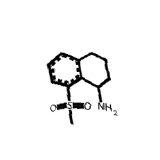 CS(=O)(=O)c1cccc2c1C(N)CCC2